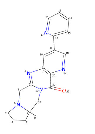 CC12CCCN1Cc1nc3cc(-c4ccccn4)cnc3c(=O)n1C2